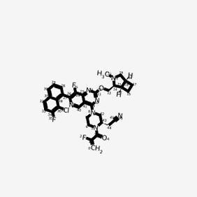 C=C(F)C(=O)N1CCN(c2nc(OC[C@@H]3[C@@H]4CC[C@@H]4CN3C)nc3c(F)c(-c4cccc5ccc(F)c(Cl)c45)ncc23)C[C@@H]1CC#N